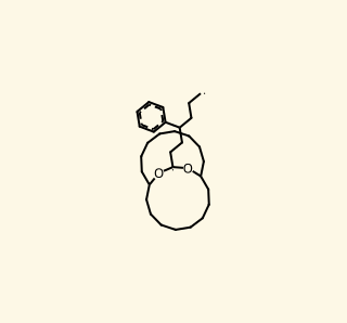 [CH2]CCC(CC[C]1OC2CCCCCCCCC(CCCCCCCC2)O1)c1ccccc1